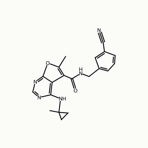 Cc1oc2ncnc(NC3(C)CC3)c2c1C(=O)NCc1cccc(C#N)c1